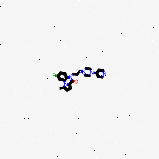 Cc1ccc2c(=O)n(CCCN3CCN(c4ccncc4)CC3)c3ccc(F)cc3n12